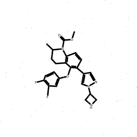 COC(=O)N1c2ccc(-c3cnn(C4CNC4)c3)c(Oc3ccc(F)c(F)c3)c2CCC1C